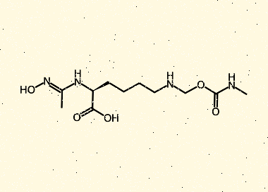 CNC(=O)OCNCCCC[C@H](N/C(C)=N/O)C(=O)O